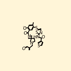 C=C(C=O)CN1CCC2(C1)CN(C(=O)c1cc(Sc3cnc(NC(=O)c4ccsc4)s3)c(C)cc1OC)C2